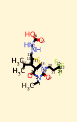 CCn1c(=O)c2c(C(C)C)c(CNNC(=O)O)sc2n(CCC(F)(F)F)c1=O